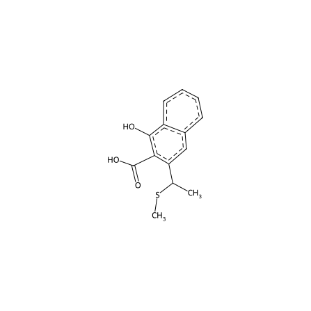 CSC(C)c1cc2ccccc2c(O)c1C(=O)O